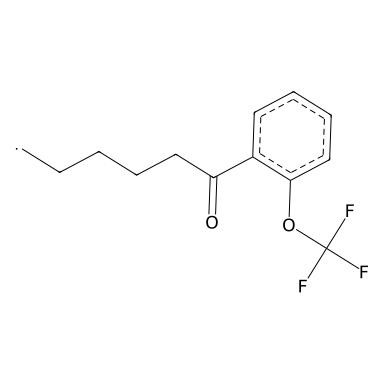 [CH2]CCCCC(=O)c1ccccc1OC(F)(F)F